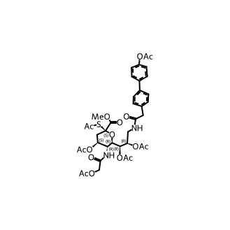 COC(=O)[C@@]1(SC(C)=O)C[C@H](OC(C)=O)[C@@H](NC(=O)COC(C)=O)[C@H]([C@H](OC(C)=O)[C@@H](CNC(=O)Cc2ccc(-c3ccc(OC(C)=O)cc3)cc2)OC(C)=O)O1